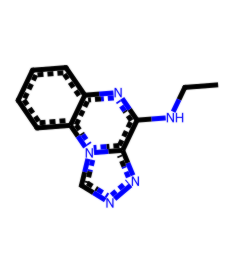 CCNc1nc2ccccc2n2cnnc12